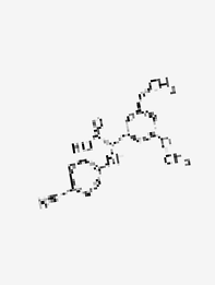 C=Cc1cc(OC)cc(C(Nc2ccc(C#N)cc2)C(=O)O)c1